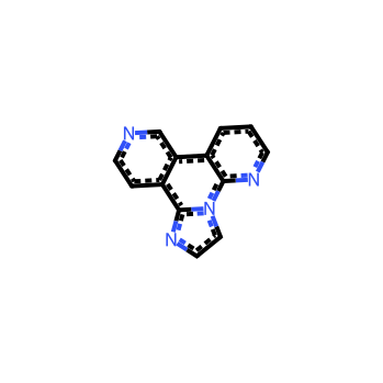 c1cnc2c(c1)c1cnccc1c1nccn21